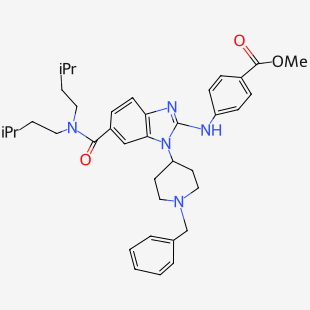 COC(=O)c1ccc(Nc2nc3ccc(C(=O)N(CCC(C)C)CCC(C)C)cc3n2C2CCN(Cc3ccccc3)CC2)cc1